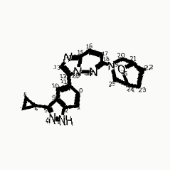 c1cc2[nH]nc(C3CC3)c2cc1-c1cnc2ccc(N3CC4CCC(C3)O4)nn12